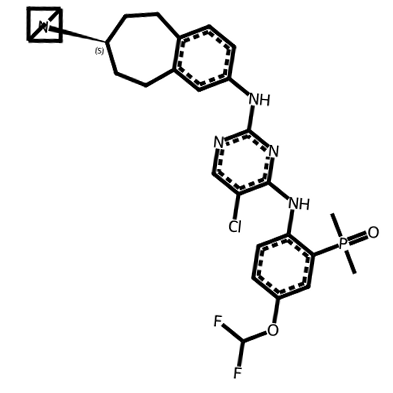 CP(C)(=O)c1cc(OC(F)F)ccc1Nc1nc(Nc2ccc3c(c2)CC[C@@H](N2CC4CC2C4)CC3)ncc1Cl